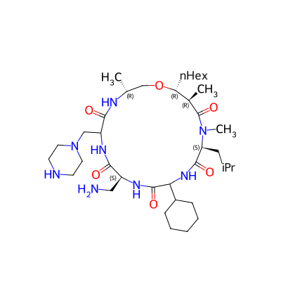 CCCCCC[C@H]1OC[C@@H](C)NC(=O)C(CN2CCNCC2)NC(=O)[C@H](CN)NC(=O)C(C2CCCCC2)NC(=O)[C@H](CC(C)C)N(C)C(=O)[C@@H]1C